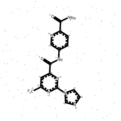 CNC(=O)c1ccc(NC(=O)c2cc(C(F)(F)F)nc(-n3ccnc3)n2)cn1